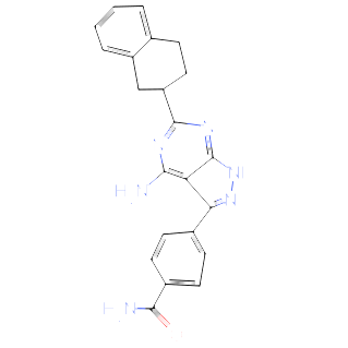 NC(=O)c1ccc(-c2n[nH]c3nc(C4CCc5ccccc5C4)nc(N)c23)cc1